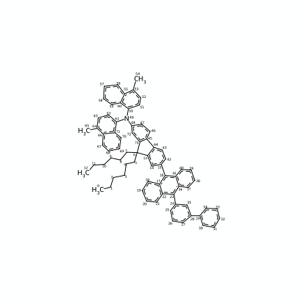 CCCCCCC1(CCCCCC)c2cc(-c3c4ccccc4c(-c4cccc(-c5ccccc5)c4)c4ccccc34)ccc2-c2ccc(N(c3ccc(C)c4ccccc34)c3ccc(C)c4ccccc34)cc21